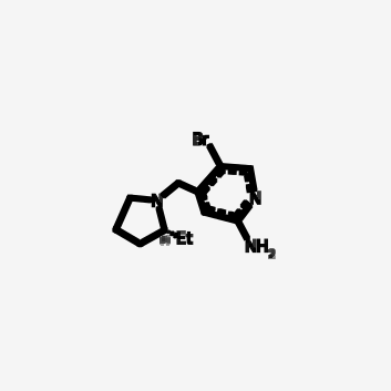 CC[C@@H]1CCCN1Cc1cc(N)ncc1Br